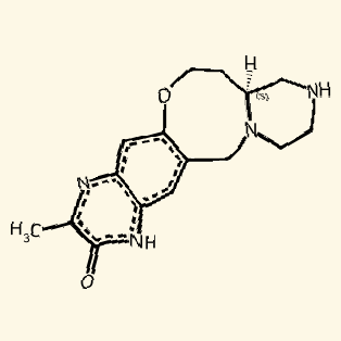 Cc1nc2cc3c(cc2[nH]c1=O)CN1CCNC[C@@H]1CCO3